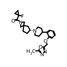 Cc1nnc(COc2ccccc2C2CCN([C@@H]3CCC4(C3)CN(C(=O)C3(F)CC3)C4)CC2)o1